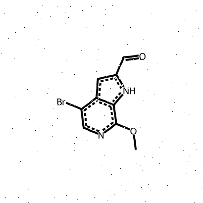 COc1ncc(Br)c2cc(C=O)[nH]c12